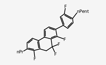 CCCCCc1ccc(-c2ccc3c(c2F)C(F)(F)Cc2c-3ccc(CCC)c2F)cc1F